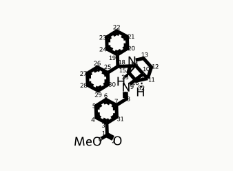 COC(=O)c1cccc(/C=N/[C@@H]2C3CCN(CC3)[C@H]2C(c2ccccc2)c2ccccc2)c1